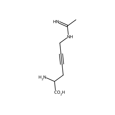 CC(=N)NCC#CCC(N)C(=O)O